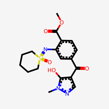 COC(=O)c1ccc(C(=O)c2cnn(C)c2O)cc1N=S1(=O)CCCCC1